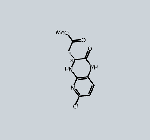 COC(=O)C[C@H]1Nc2nc(Cl)ccc2NC1=O